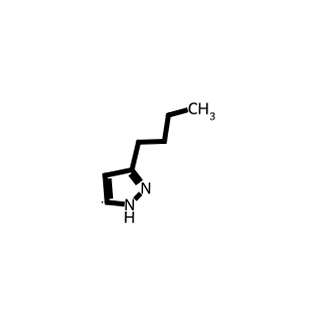 CCCCc1c[c][nH]n1